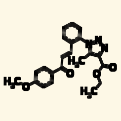 CCOC(=O)c1nnn(-c2ccccc2/C=C/C(=O)c2ccc(OC)cc2)c1C